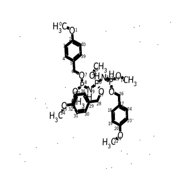 COc1ccc(COP(N[PH](N=[PH](OC)OCc2ccc(OC)cc2)(OC)OCc2ccc(OC)cc2)OC)cc1